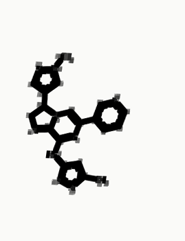 Cc1cc(NC2=NC(c3cccnc3)=CN3C2=NCC3c2cnn(C)c2)sn1